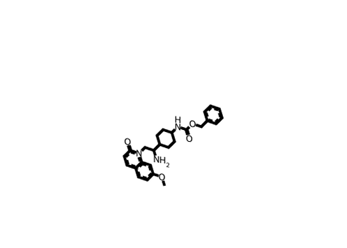 COc1ccc2ccc(=O)n(CC(N)C3CCC(NC(=O)OCc4ccccc4)CC3)c2c1